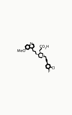 COc1ccc2nccc(CCC[C@@H]3CCN(CC#Cc4ccc(F)c(Cl)c4)C[C@@H]3CCC(=O)O)c2c1